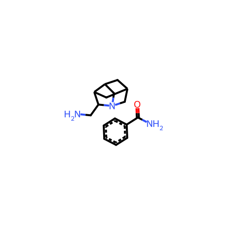 NC(=O)c1ccccc1.NCC1C2CC3CC2CN1C3